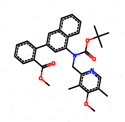 COC(=O)c1ccccc1-c1cc(N(Cc2ncc(C)c(OC)c2C)C(=O)OC(C)(C)C)c2ccccc2c1